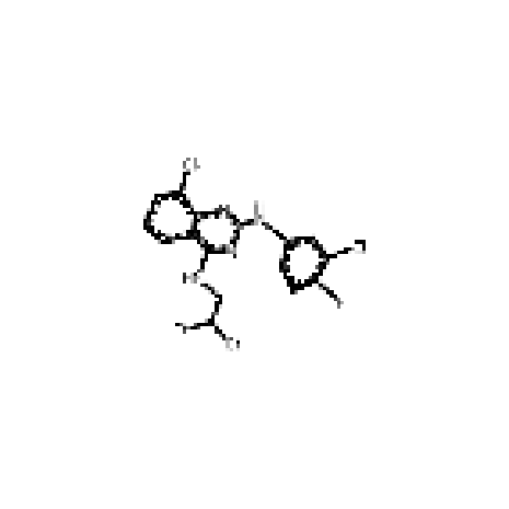 CCC(CC)CNc1nc(Nc2ccc(F)c(Cl)c2)nc2c(C#N)cccc12